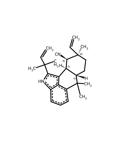 [C-]#[N+][C@@H]1[C@@H]2c3c(C(C)(C)C=C)[nH]c4cccc(c34)C(C)(C)[C@H]2CC[C@]1(C)C=C